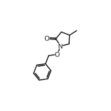 CC1CC(=O)N(OCc2ccccc2)C1